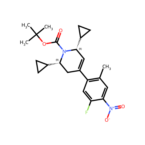 Cc1cc([N+](=O)[O-])c(F)cc1C1=C[C@@H](C2CC2)N(C(=O)OC(C)(C)C)[C@@H](C2CC2)C1